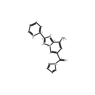 Nc1cc(C(=O)n2cccc2)cn2nc(-c3ccccn3)nc12